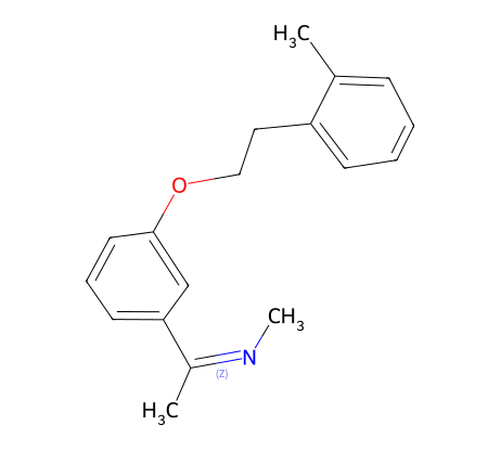 C/N=C(/C)c1cccc(OCCc2ccccc2C)c1